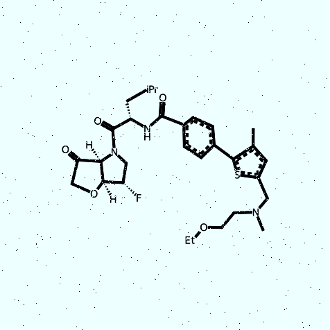 CCOCCN(C)Cc1cc(C)c(-c2ccc(C(=O)N[C@@H](CC(C)C)C(=O)N3C[C@H](F)[C@H]4OCC(=O)[C@H]43)cc2)s1